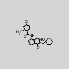 Cc1cc(Cl)ccc1C(=O)Nc1cccc2c(=O)n(CC3(O)CCCCC3)ccc12